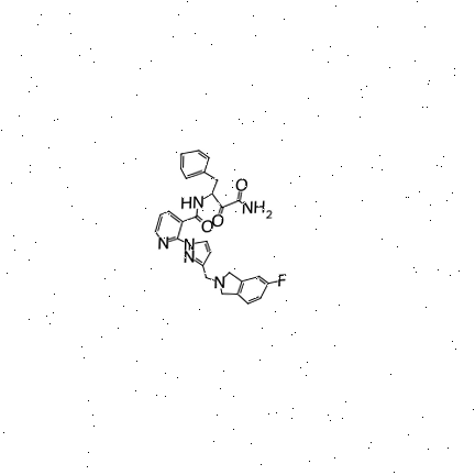 NC(=O)C(=O)C(Cc1ccccc1)NC(=O)c1cccnc1-n1ccc(CN2Cc3ccc(F)cc3C2)n1